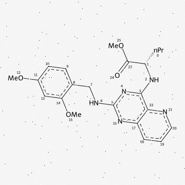 CCC[C@H](Nc1nc(NCc2ccc(OC)cc2OC)nc2cccnc12)C(=O)OC